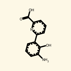 Nc1cccc(-c2cccc(C(=O)O)n2)c1O